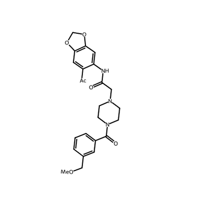 COCc1cccc(C(=O)N2CCN(CC(=O)Nc3cc4c(cc3C(C)=O)OCO4)CC2)c1